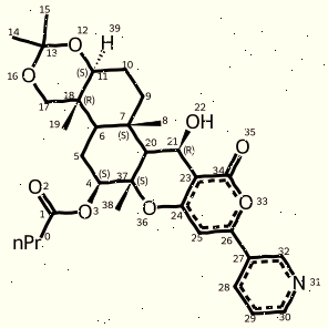 CCCC(=O)O[C@H]1CC2[C@](C)(CC[C@@H]3OC(C)(C)OC[C@@]23C)C2[C@@H](O)c3c(cc(-c4cccnc4)oc3=O)O[C@@]21C